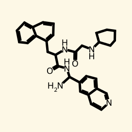 NC(NC(=O)C(Cc1cccc2ccccc12)NC(=O)CNC1CCCCC1)c1ccc2cnccc2c1